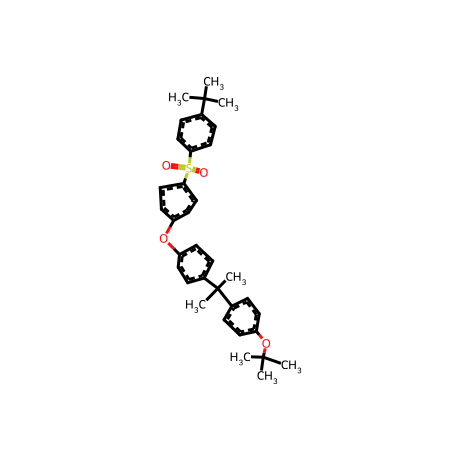 CC(C)(C)Oc1ccc(C(C)(C)c2ccc(Oc3ccc(S(=O)(=O)c4ccc(C(C)(C)C)cc4)cc3)cc2)cc1